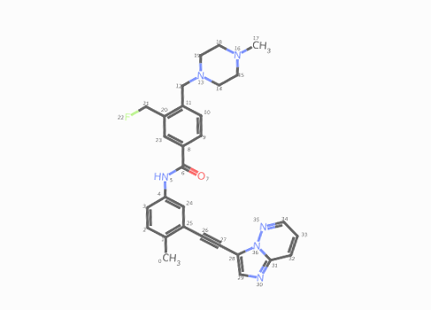 Cc1ccc(NC(=O)c2ccc(CN3CCN(C)CC3)c(CF)c2)cc1C#Cc1cnc2cccnn12